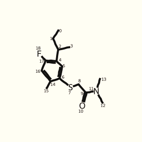 CCC(C)c1cc(SCC(=O)N(C)C)c(C)cc1F